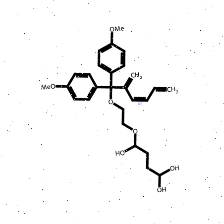 C=C/C=C\C(=C)C(OCCOC(O)CCC(O)O)(c1ccc(OC)cc1)c1ccc(OC)cc1